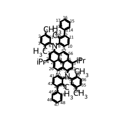 Cc1ccc(C)c(N(c2cccc(-c3ccccc3)c2C)c2cc(C(C)C)c3ccc4c(N(c5cc(C)ccc5C)c5cccc(-c6ccccc6)c5C)cc(C(C)C)c5ccc2c3c54)c1